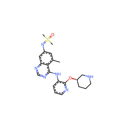 Cc1cc(N=S(C)(C)=O)cc2ncnc(Nc3cccnc3O[C@@H]3CCCNC3)c12